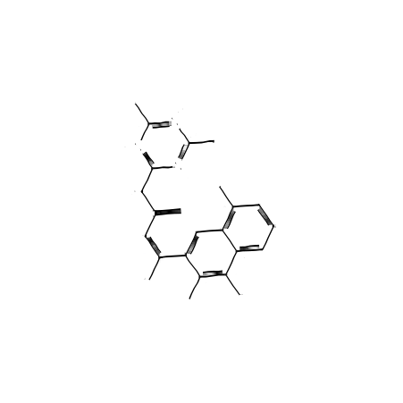 C=C(/C=C(/C)c1cc2c(C)cccc2c(C)c1C)Cc1nc(C)nc(C)n1